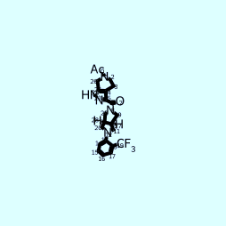 CC(=O)N1CCc2c(C(=O)N3C[C@@H]4CN(c5ccccc5C(F)(F)F)C[C@@H]4C3)n[nH]c2C1